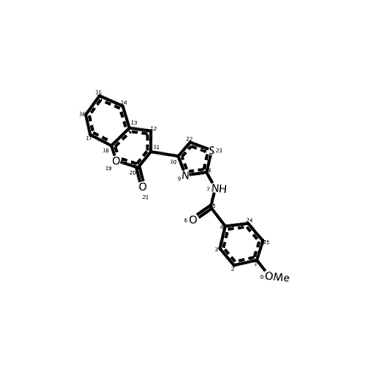 COc1ccc(C(=O)Nc2nc(-c3cc4ccccc4oc3=O)cs2)cc1